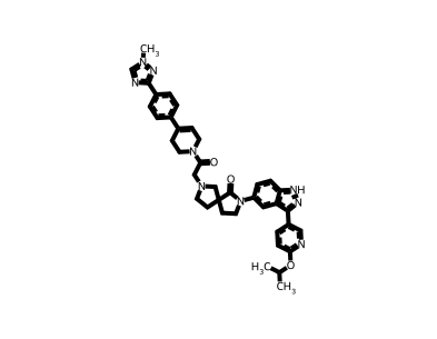 CC(C)Oc1ccc(-c2n[nH]c3ccc(N4CCC5(CCN(CC(=O)N6CC=C(c7ccc(-c8ncn(C)n8)cc7)CC6)C5)C4=O)cc23)cn1